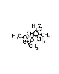 CCOP(=O)(OCC)C(C)C(=O)c1ccc(OC)c(C)c1C